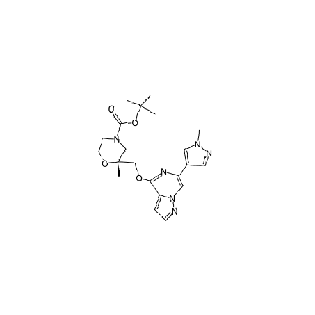 Cn1cc(-c2cn3nccc3c(OC[C@@]3(C)CN(C(=O)OC(C)(C)C)CCO3)n2)cn1